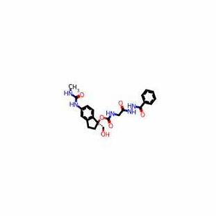 CNC(=O)Nc1ccc2c(c1)CC[C@]2(CO)OC(=O)NCC(=O)NNC(=O)c1ccccc1